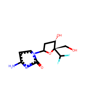 Nc1ccn(C2C[C@H](O)[C@](CO)(C(F)F)O2)c(=O)n1